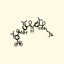 CC(C)n1cc(NC(=O)c2cc(NC(=O)c3cc([N+](=O)[O-])cn3C(C)C)cn2C(C)C)cc1C(=O)NCCCN(C)C